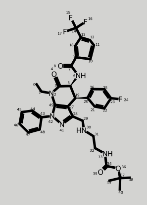 CCN1C(=O)[C@@H](NC(=O)c2cccc(C(F)(F)F)c2)[C@@H](c2ccc(F)cc2)c2c(CNCCNC(=O)OC(C)(C)C)nn(-c3ccccc3)c21